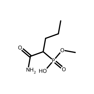 CCCC(C(N)=O)P(=O)(O)OC